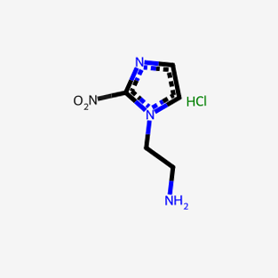 Cl.NCCn1ccnc1[N+](=O)[O-]